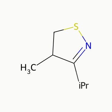 CC(C)C1=NSCC1C